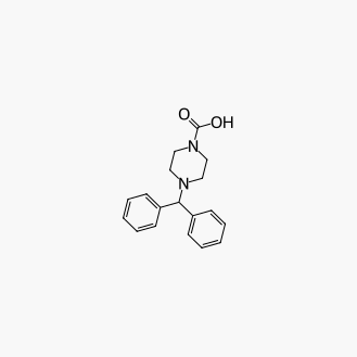 O=C(O)N1CCN(C(c2ccccc2)c2ccccc2)CC1